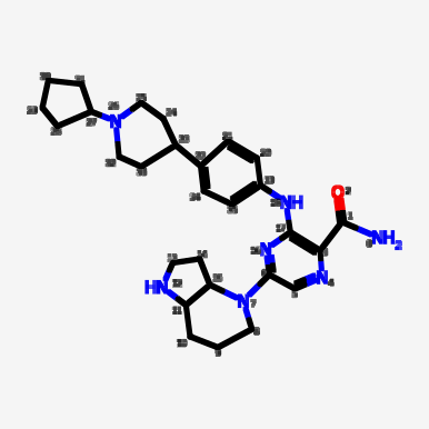 NC(=O)c1ncc(N2CCCC3NCCC32)nc1Nc1ccc(C2CCN(C3CCCC3)CC2)cc1